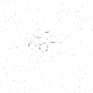 [Cl-].[Cl-].[Ru+2]=[C]1c2ccc3c(c2C12N(C1CCCCC1)C=CN2C1CCCCC1)C31N(C2CCCCC2)C=CN1C1CCCCC1